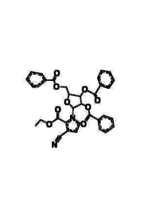 CCOC(=O)c1c(C#N)ccn1C1OC(COC(=O)c2ccccc2)C(OC(=O)c2ccccc2)C1OC(=O)c1ccccc1